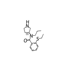 CCCN(C(=O)c1ccccc1SCC)[C@H]1CCNC1